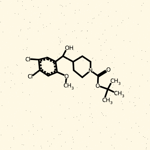 COc1cc(Cl)c(Cl)cc1C(O)C1CCN(C(=O)OC(C)(C)C)CC1